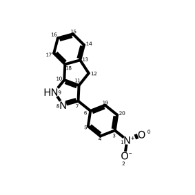 O=[N+]([O-])c1ccc(-c2n[nH]c3c2Cc2ccccc2-3)cc1